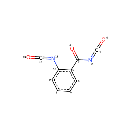 O=C=NC(=O)c1ccccc1N=C=O